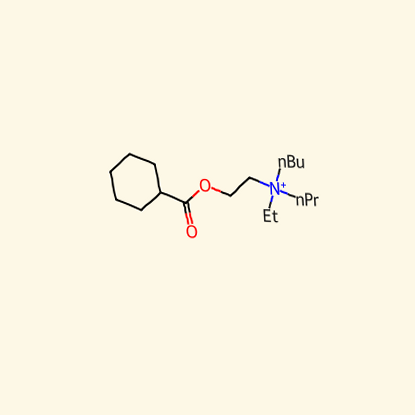 CCCC[N+](CC)(CCC)CCOC(=O)C1CCCCC1